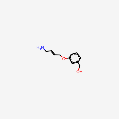 NCC=CCOc1cccc(CO)c1